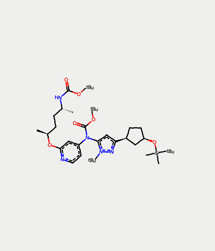 C[C@H](CC[C@H](C)Oc1cc(N(C(=O)OC(C)(C)C)c2cc([C@H]3CC[C@@H](O[Si](C)(C)C(C)(C)C)C3)nn2C(C)(C)C)ccn1)NC(=O)OC(C)(C)C